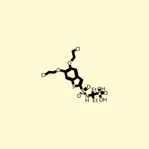 CCC(CC)(NS(=O)(=O)c1cc2cc(OCCCl)c(OCCCl)cc2s1)P(=O)(O)O